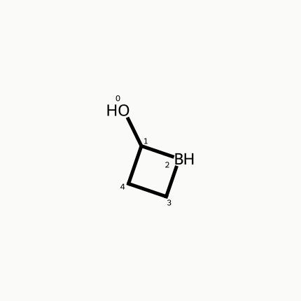 OC1BCC1